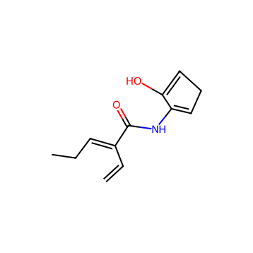 C=C/C(=C\CC)C(=O)NC1=CCC=C1O